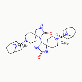 CCOC(=O)N1C2CCC1CC(N1CCC3(CC1)CNC(=O)N3C1NC(=O)NC13CCN(C1CC4CCC(C1)N4C(=O)OC)CC3)C2